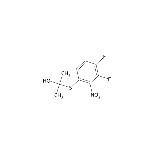 CC(C)(O)Sc1ccc(F)c(F)c1[N+](=O)[O-]